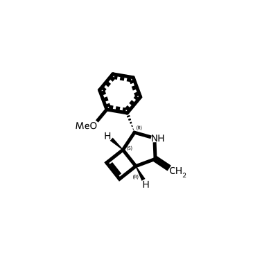 C=C1N[C@@H](c2ccccc2OC)[C@H]2C=C[C@@H]12